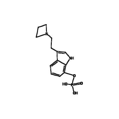 O=P(O)(O)Oc1cccc2c(CCN3CCC3)c[nH]c12